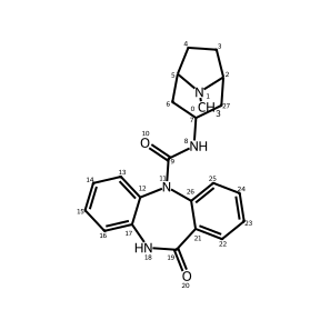 CN1C2CCC1CC(NC(=O)N1c3ccccc3NC(=O)c3ccccc31)C2